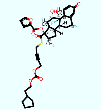 C[C@@H]1C[C@H]2[C@@H]3C[C@H](F)C4=CC(=O)C=C[C@]4(C)[C@@]3(F)[C@@H](O)C[C@]2(C)[C@@]1(OC(=O)c1ccco1)C(=O)SCC#CCOC(=O)OCCC1CCCC1